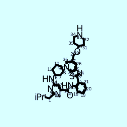 CC(C)Cc1nc(NC2CCCCC2)cc(C(=O)Nc2ccccc2-c2nc3cc(COC4CCNCC4)cnc3s2)n1